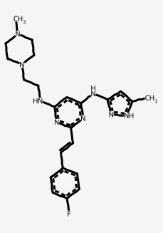 Cc1cc(Nc2cc(NCCN3CCN(C)CC3)nc(/C=C/c3ccc(F)cc3)n2)n[nH]1